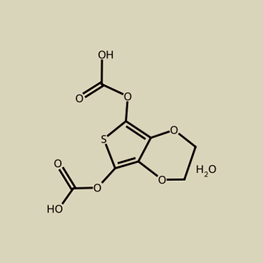 O.O=C(O)Oc1sc(OC(=O)O)c2c1OCCO2